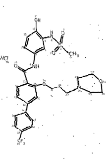 CS(=O)(=O)Nc1cc(NC(=O)c2ccc(-c3ccc(C(F)(F)F)cc3)cc2OCCCN2CCOCC2)ccc1O.Cl